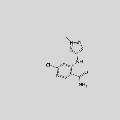 Cn1cc(Nc2cc(Cl)ncc2C(N)=O)cn1